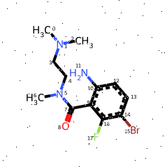 CN(C)CCN(C)C(=O)c1c(N)ccc(Br)c1F